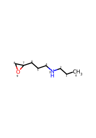 CCCNCCCC1CO1